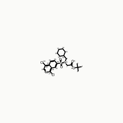 CC(C)(C)OC(=O)CN(CC1CCCCC1)S(=O)(=O)c1ccc2c(Cl)cnc(Cl)c2c1